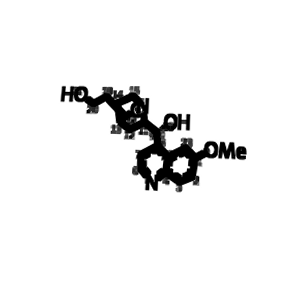 COc1ccc2nccc([C@@H](O)C3CC4CCN3CC4CCO)c2c1